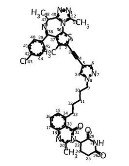 Cc1c(C#Cc2cnn(CCCCCc3cccc4nc(C)n(C5CCC(=O)NC5=O)c(=O)c34)c2)sc2c1C(c1ccc(Cl)cc1)=N[C@@H](C)c1nnc(C)n1-2